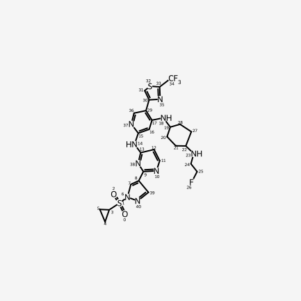 O=S(=O)(C1CC1)n1cc(-c2nccc(Nc3cc(NC4CCC(NCCF)CC4)c(-c4csc(C(F)(F)F)n4)cn3)n2)cn1